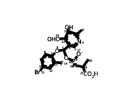 Cc1ncc(C(Oc2ccc(Br)cc2F)O/[P+]([O-])=N/C(C)C(=O)O)c(C=O)c1O